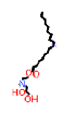 CCCCCCCC/C=C\CCCCCCCC(=O)OCCN(C)CC(O)CO